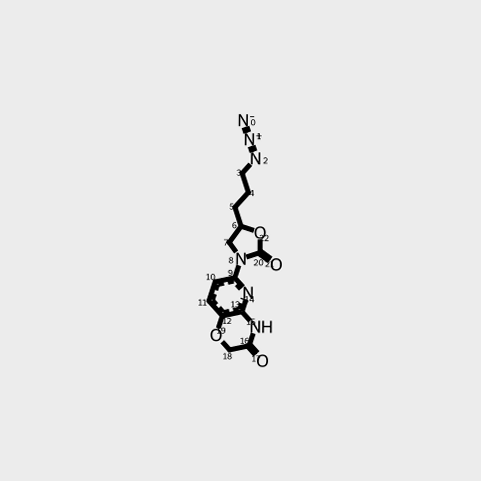 [N-]=[N+]=NCCCC1CN(c2ccc3c(n2)NC(=O)CO3)C(=O)O1